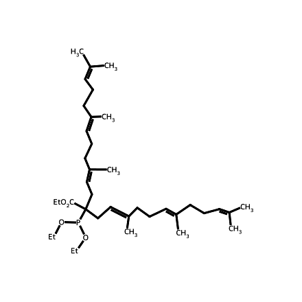 CCOC(=O)C(C/C=C(\C)CC/C=C(\C)CCC=C(C)C)(C/C=C(\C)CC/C=C(\C)CCC=C(C)C)P(OCC)OCC